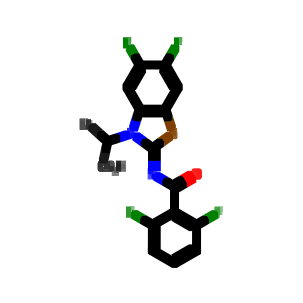 CCC(C(=O)O)n1c(=NC(=O)c2c(F)cccc2F)sc2cc(F)c(F)cc21